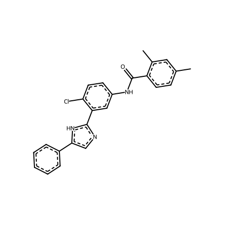 Cc1ccc(C(=O)Nc2ccc(Cl)c(-c3ncc(-c4ccccc4)[nH]3)c2)c(C)c1